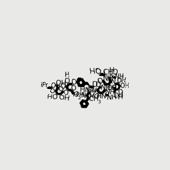 CC(C)CC(=O)OC1C(CO)OC(OC2C(CO)OC(Oc3ccc(C[C@H](NC(=O)[C@@H](N)C(C)c4ccccc4)C(=O)N[C@H](C(=O)N[C@H](C(=O)N[C@H]([C]=O)CO)C(O)C4CNC(=N)N4C4OC(CO)C(O)C(O)C4O)C(O)C4CNC(=N)N4)cc3)C(O)C2O)C(O)C1O